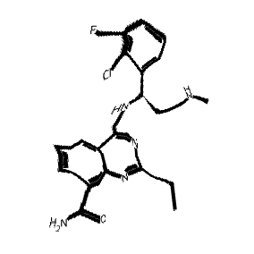 CCc1nc(N[C@H](CNC)c2cccc(F)c2Cl)c2cccc(C(N)=O)c2n1